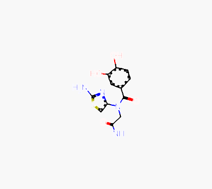 [NH]C(=O)CN(C(=O)c1ccc(O)c(O)c1)c1csc(N)n1